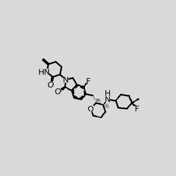 C=C1CCC(N2Cc3c(ccc(C[C@H]4OCCC[C@@H]4NC4CCC(C)(F)CC4)c3F)C2=O)C(=O)N1